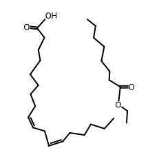 CCCCC/C=C\C/C=C\CCCCCCCC(=O)O.CCCCCCCC(=O)OCC